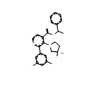 CC(NC(=O)c1ccnc(-c2cc(F)cc(F)c2)c1N1CC[C@](C)(N)C1)c1ccccc1